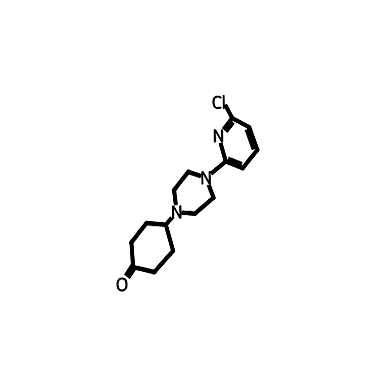 O=C1CCC(N2CCN(c3cccc(Cl)n3)CC2)CC1